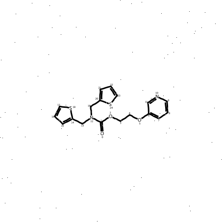 O=C(OCCOc1cccnc1)N(Cc1cccs1)Cc1cccs1